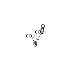 O=C(O)C=CC(=O)O.c1ccn2nc(COCCCCN3CCN(C4CCCCC4)CC3)cc2c1